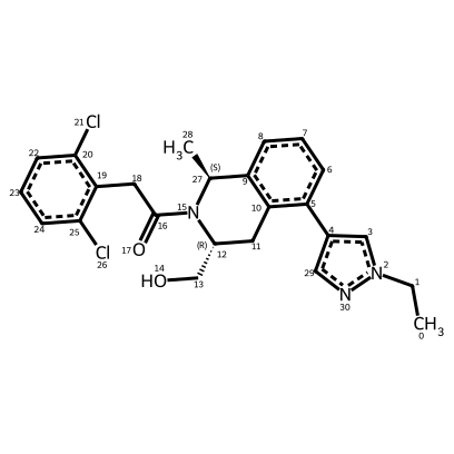 CCn1cc(-c2cccc3c2C[C@H](CO)N(C(=O)Cc2c(Cl)cccc2Cl)[C@H]3C)cn1